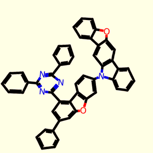 c1ccc(-c2cc(-c3nc(-c4ccccc4)nc(-c4ccccc4)n3)c3c(c2)oc2cc(-n4c5ccccc5c5cc6oc7ccccc7c6cc54)ccc23)cc1